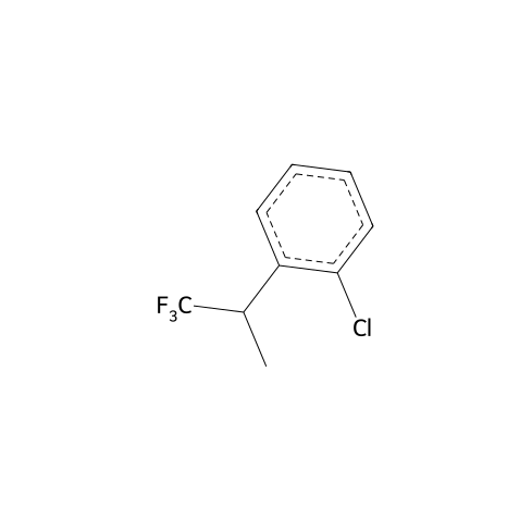 CC(c1ccccc1Cl)C(F)(F)F